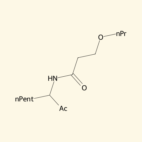 CCCCCC(NC(=O)CCOCCC)C(C)=O